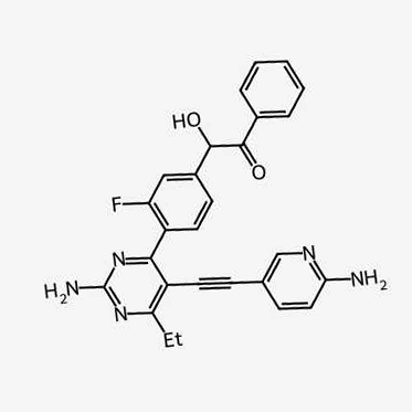 CCc1nc(N)nc(-c2ccc(C(O)C(=O)c3ccccc3)cc2F)c1C#Cc1ccc(N)nc1